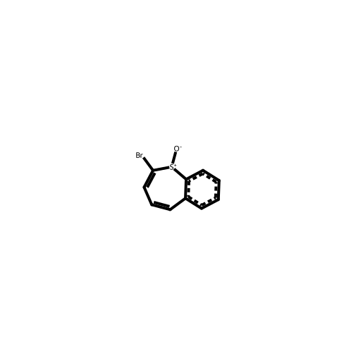 [O-][S+]1C(Br)=CC=Cc2ccccc21